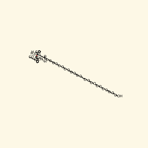 CC1(C)C(/C=C/C=C2/N(CCCCCC(=O)O)c3ccccc3C2(C)C)=[N+](CCCCCC(=O)NCOCCOCCOCCOCCOCCOCCOCCOCCOCCOCCOCCOCCCCOCCOCCOCCOCCOCCOCCOCCOCCOCCOCCOCCO)c2ccccc21